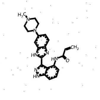 C=CC(=O)Nc1cccc2[nH]nc(-c3nc4ccc(N5CCN(C)CC5)cc4[nH]3)c12